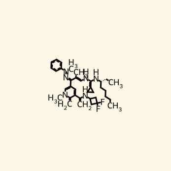 C=C(NC1CC(F)(F)C1)C1=CC(C(=N/N(C)c2ccccc2)/C(C)=C/NC(N[C@H](CC)CCCCC)=C2CC2)=CN(C)C1=C